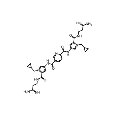 N=C(N)CCNC(=O)c1cc(NC(=O)c2ccc(C(=O)Nc3cc(C(=O)NCCC(=N)N)n(CC4CC4)c3)nc2)cn1CC1CC1